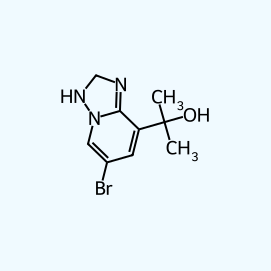 CC(C)(O)C1=CC(Br)=CN2NCN=C12